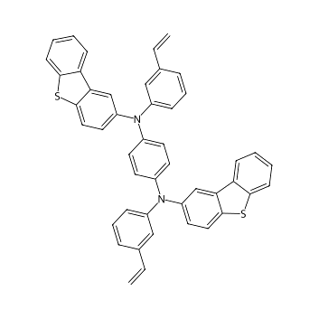 C=Cc1cccc(N(c2ccc(N(c3cccc(C=C)c3)c3ccc4sc5ccccc5c4c3)cc2)c2ccc3sc4ccccc4c3c2)c1